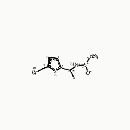 C[C@H](N[S+]([O-])C(C)(C)C)c1ccc(Br)s1